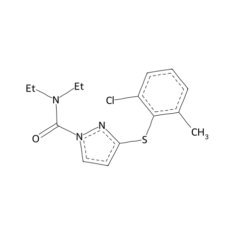 CCN(CC)C(=O)n1ccc(Sc2c(C)cccc2Cl)n1